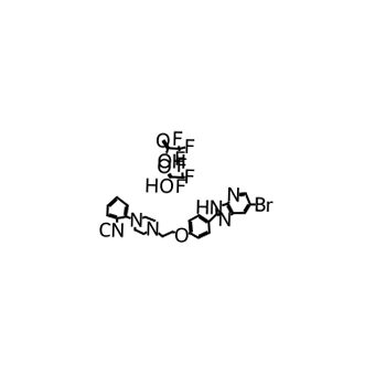 N#Cc1ccccc1N1CCN(CCOc2ccc(-c3nc4cc(Br)cnc4[nH]3)cc2)CC1.O=C(O)C(F)(F)F.O=C(O)C(F)(F)F